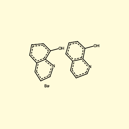 Oc1cccc2cccnc12.Oc1cccc2cccnc12.[Ba]